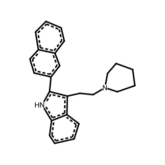 c1ccc2cc(-c3[nH]c4ccccc4c3CCN3CCCCC3)ccc2c1